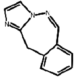 C1=Nn2ccnc2Cc2ccccc21